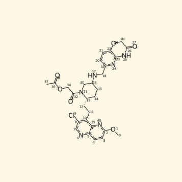 COc1ccc2ncc(Cl)c(CC[C@H]3CCC(NCc4ccc5c(n4)NC(=O)CO5)CN3C(=O)COC(C)=O)c2n1